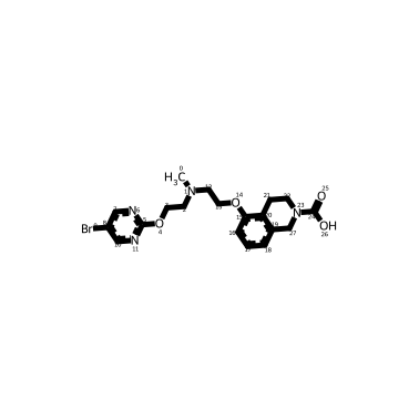 CN(CCOc1ncc(Br)cn1)CCOc1cccc2c1CCN(C(=O)O)C2